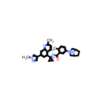 Cc1ccc2c(C3(NC(=O)c4cc(N5CC6CCC(C5)N6)ccc4C)CC3)cc(-c3cnn(C)c3)cc2n1